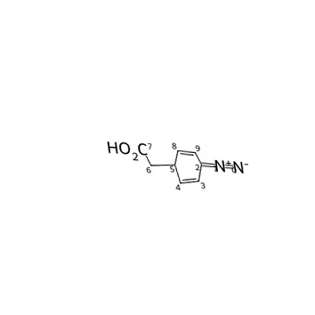 [N-]=[N+]=C1C=CC(CC(=O)O)C=C1